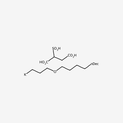 CCCCCCCCCCCCCCOCC[CH2][K].O=C(O)CC(C(=O)O)S(=O)(=O)O